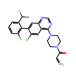 C=CC(=O)N1CCN(c2ncnc3cc(-c4c(F)cccc4C(F)F)c(Cl)cc23)CC1